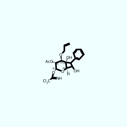 C=CCO[C@@H]1[C@@H](OC(C)=O)[C@@H](OC(=N)C(Cl)(Cl)Cl)O[C@@H]2C(O)C(c3ccccc3)[C@@]21O